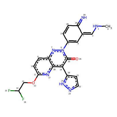 CN/C=C1/C=C(n2nc3ccc(OCC(F)F)nc3c(-c3ccn[nH]3)c2=O)C=CC1=N